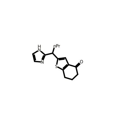 CCCC(c1ncc[nH]1)c1cc2c(s1)CCCC2=O